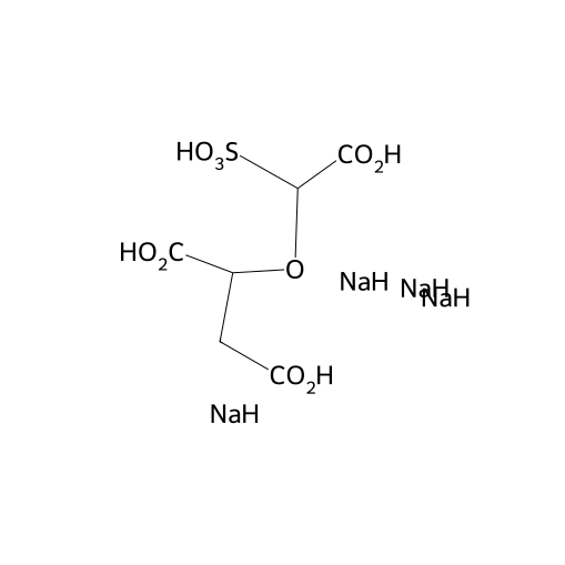 O=C(O)CC(OC(C(=O)O)S(=O)(=O)O)C(=O)O.[NaH].[NaH].[NaH].[NaH]